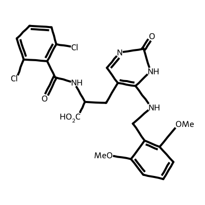 COc1cccc(OC)c1CNc1[nH]c(=O)ncc1CC(NC(=O)c1c(Cl)cccc1Cl)C(=O)O